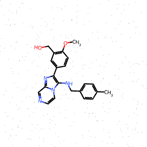 COc1ccc(-c2nc3cnccn3c2NCc2ccc(C)cc2)cc1CO